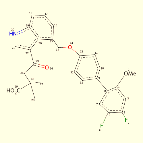 COc1cc(F)c(F)cc1-c1ccc(OCc2cccc3[nH]cc(C(=O)CC(C)(C)C(=O)O)c23)cc1